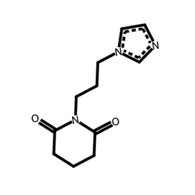 O=C1CCCC(=O)N1CCCn1ccnc1